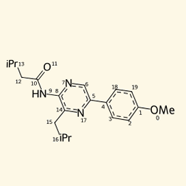 COc1ccc(-c2cnc(NC(=O)CC(C)C)c(CC(C)C)n2)cc1